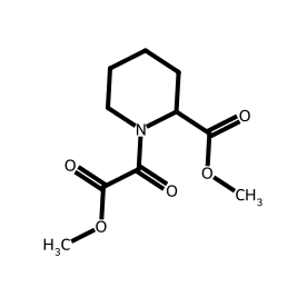 COC(=O)C(=O)N1CCCCC1C(=O)OC